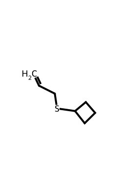 C=CCSC1CCC1